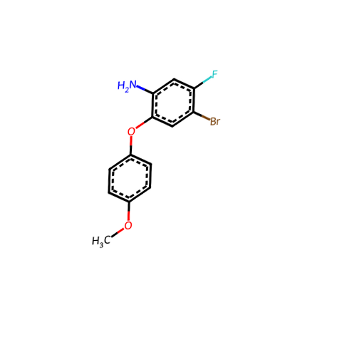 COc1ccc(Oc2cc(Br)c(F)cc2N)cc1